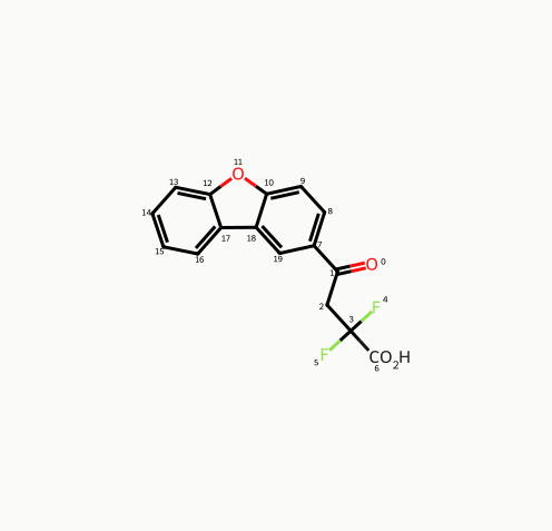 O=C(CC(F)(F)C(=O)O)c1ccc2oc3ccccc3c2c1